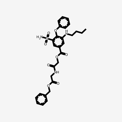 CCCCNc1cc(C(=O)OCC(=O)NCC(=O)OCc2ccccc2)cc(S(N)(=O)=O)c1Oc1ccccc1